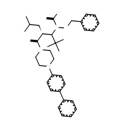 CC(C)C[C@H](C(=O)N1CCN(c2ccc(-c3ccccc3)cc2)CC1)C(N(OCc1ccccc1)C(=O)O)C(C)(C)C